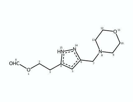 O=COCCc1cc(CN2CCOCC2)n[nH]1